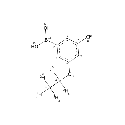 [2H]C([2H])([2H])C([2H])([2H])Oc1cc(B(O)O)cc(C(F)(F)F)c1